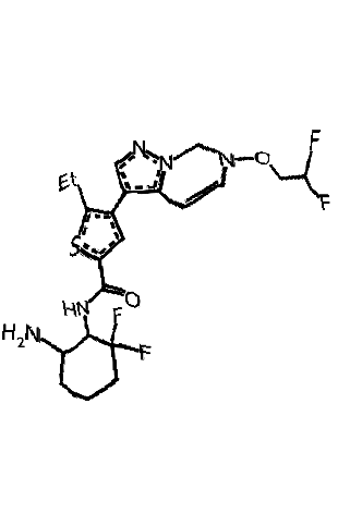 CCc1sc(C(=O)NC2C(N)CCCC2(F)F)cc1-c1cnn2c1C=CN(OCC(F)F)C2